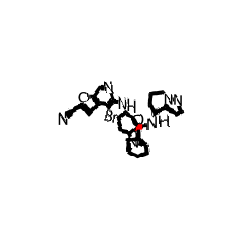 N#Cc1cc2c(Br)c(NC3CCC(N4C5CCC4C(C(=O)N[C@H]4CCCn6nccc64)C5)CC3)ncc2o1